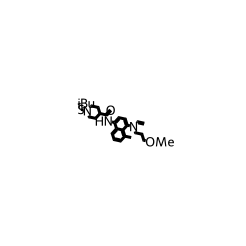 C=CN(CCCOC)c1ccc(NC(=O)C2CCN(SC(C)CC)CC2)c2cccc(C)c12